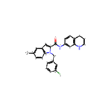 O=C(Nc1ccc2c(c1)NCCC2)c1cc2cc(C(F)(F)F)ccc2n1Cc1cccc(F)c1